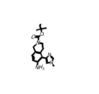 Cn1cnc(-c2c(N)ccc3c2CCN(C(=O)OC(C)(C)C)C3)c1